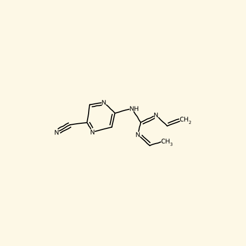 C=C/N=C(\N=C/C)Nc1cnc(C#N)cn1